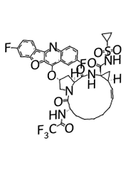 O=C1N[C@]2(C(=O)NS(=O)(=O)C3CC3)C[C@H]2/C=C\CCCCC[C@H](NC(=O)C(F)(F)F)C(=O)N2C[C@H](Oc3c4cc(F)ccc4nc4c3oc3cc(F)ccc34)C[C@@H]12